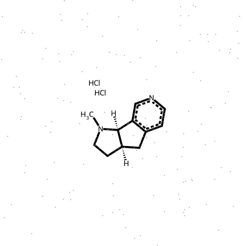 CN1CC[C@@H]2Cc3ccncc3[C@@H]21.Cl.Cl